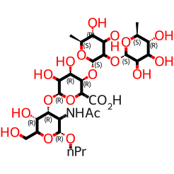 CCCO[C@@H]1OC(CO)[C@H](O)[C@H](O[C@@H]2OC(C(=O)O)[C@H](O[C@@H]3O[C@@H](C)[C@H](O)C(O)C3O[C@@H]3O[C@@H](C)[C@H](O)C(O)C3O)[C@H](O)C2O)C1NC(C)=O